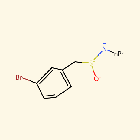 CCCN[S+]([O-])Cc1cccc(Br)c1